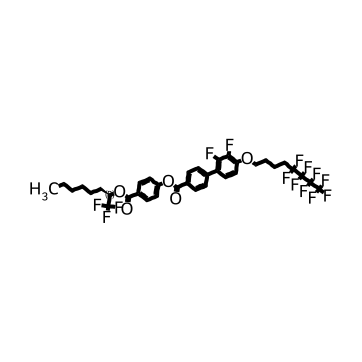 CCCCCC[C@@H](OC(=O)c1ccc(OC(=O)c2ccc(-c3ccc(OCCCCC(F)(F)C(F)(F)C(F)(F)C(F)(F)F)c(F)c3F)cc2)cc1)C(F)(F)F